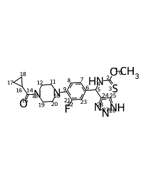 COC(=S)NC(c1ccc(N2CCN(C(=O)C3CC3)CC2)c(F)c1)c1c[nH]nn1